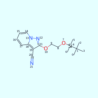 CC(C)(C)[Si](C)(C)OCCOc1nn2ccccc2c1C#N